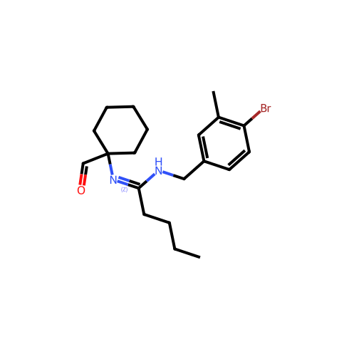 CCCC/C(=N/C1(C=O)CCCCC1)NCc1ccc(Br)c(C)c1